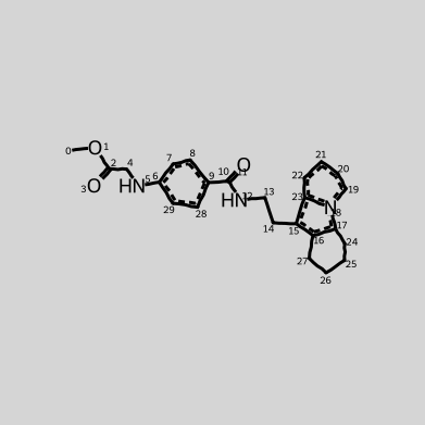 COC(=O)CNc1ccc(C(=O)NCCc2c3c(n4ccccc24)CCCC3)cc1